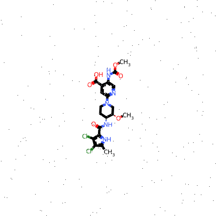 COC(=O)Nc1cnc(N2CC[C@@H](NC(=O)c3[nH]c(C)c(Cl)c3Cl)[C@@H](OC)C2)cc1C(=O)O